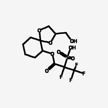 O=C(OC1CCCCC12OCC(CO)O2)C(F)(C(F)(F)F)S(=O)(=O)O